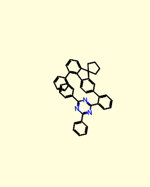 c1ccc(-c2nc(-c3ccccc3)nc(-c3ccccc3-c3ccc4c(c3)C3(CCCC3)c3cccc(-c5ccccc5)c3-4)n2)cc1